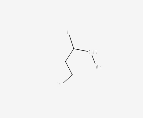 CCC(CCC(C)C)NC(C)C